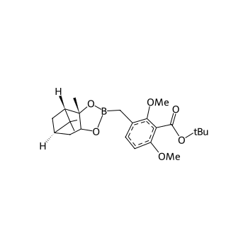 COc1ccc(CB2OC3C[C@H]4C[C@@H](C4(C)C)[C@]3(C)O2)c(OC)c1C(=O)OC(C)(C)C